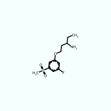 CCC(N)CCOc1cc(F)cc(S(C)(=O)=O)c1